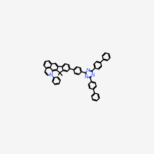 CC1(C)c2cc(-c3ccc(-c4nc(-c5ccc(-c6ccccc6)cc5)nc(-c5ccc(-c6ccccc6)cc5)n4)cc3)ccc2-c2cc3cccc4c3c(c21)N(c1ccccc1)C=C4